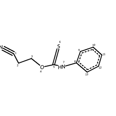 N#CCCOC(=S)Nc1ccccc1